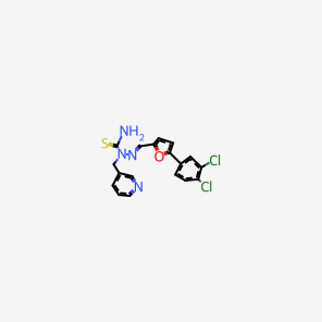 NC(=S)N(Cc1cccnc1)N=Cc1ccc(-c2ccc(Cl)c(Cl)c2)o1